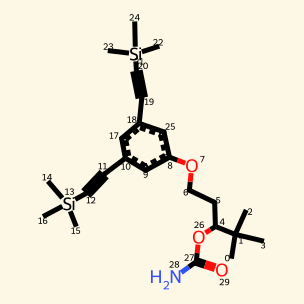 CC(C)(C)C(CCOc1cc(C#C[Si](C)(C)C)cc(C#C[Si](C)(C)C)c1)OC(N)=O